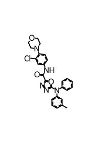 Cc1cccc(N(c2ccccc2)c2nnc(C(=O)Nc3ccc(N4CCOCC4)c(Cl)c3)o2)c1